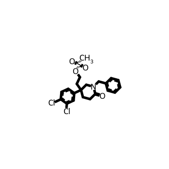 CS(=O)(=O)OCCC1(c2ccc(Cl)c(Cl)c2)CCC(=O)N(Cc2ccccc2)C1